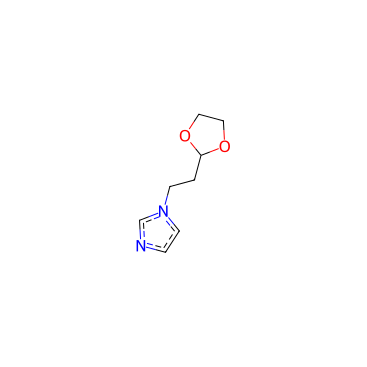 c1cn(CCC2OCCO2)cn1